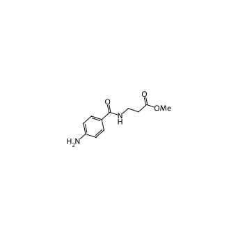 COC(=O)CCNC(=O)c1ccc(N)cc1